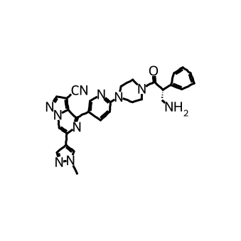 Cn1cc(-c2cn3ncc(C#N)c3c(-c3ccc(N4CCN(C(=O)[C@@H](CN)c5ccccc5)CC4)nc3)n2)cn1